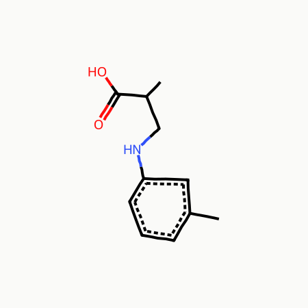 Cc1cccc(NCC(C)C(=O)O)c1